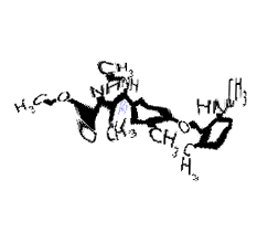 CCN/C(=C(/C)C(=N)C(=O)OCC)c1ccc(OCc2c(C)cccc2NC)c(C)c1